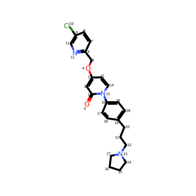 O=c1cc(OCc2ccc(Cl)cn2)ccn1-c1ccc(CCCN2CCCC2)cc1